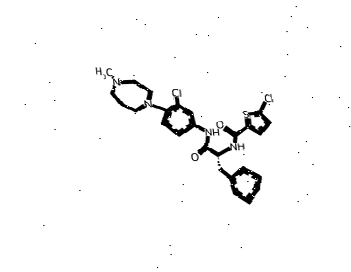 CN1CCCN(c2ccc(NC(=O)[C@@H](Cc3ccccc3)NC(=O)c3ccc(Cl)s3)cc2Cl)CC1